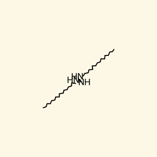 CCCCCCCCCCCCCCCCNC(=N)NCCCCCCCCCCCCCCCC